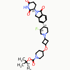 CC(C)(C)OC(=O)N1CCC(OC2CC(N3CC[C@@H](c4ccc5c(c4)CN([C@@H]4CCC(=O)NC4=O)C5=O)[C@@H](F)C3)C2)CC1